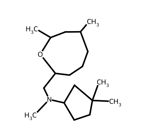 CC1CCCC(CN(C)C2CCC(C)(C)C2)OC(C)C1